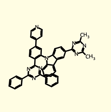 Cc1nc(C)nc(-c2ccc3c(c2)c2ccccc2n3-c2cc(-c3ccncc3)ccc2-c2nc(-c3ccccc3)nc(-c3ccccc3)n2)n1